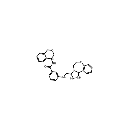 O=C(N[C@@H]1COCc2ccccc21)c1cccc(NCC2NNC3c4ccncc4OCCN23)c1